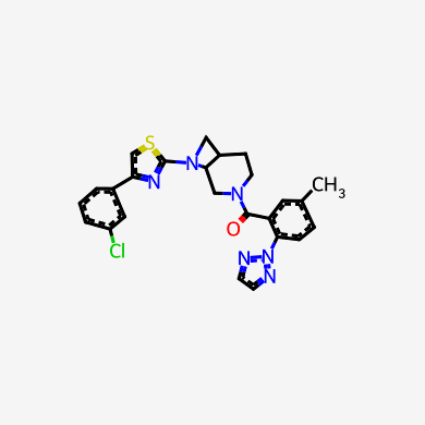 Cc1ccc(-n2nccn2)c(C(=O)N2CCC3CN(c4nc(-c5cccc(Cl)c5)cs4)C3C2)c1